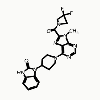 Cn1c(C(=O)N2CC(F)(F)C2)nc2c(N3CCC(n4c(=O)[nH]c5ccccc54)CC3)ncnc21